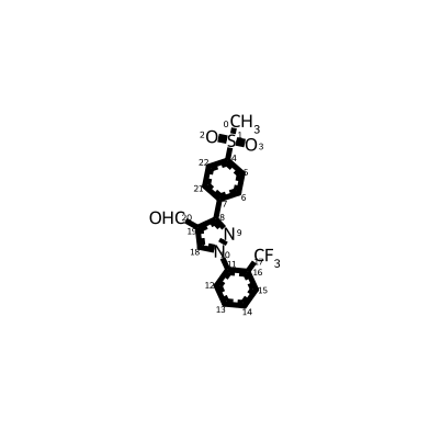 CS(=O)(=O)c1ccc(-c2nn(-c3ccccc3C(F)(F)F)cc2C=O)cc1